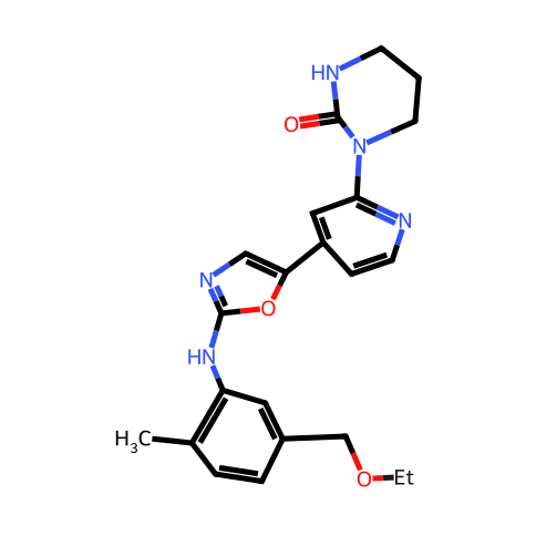 CCOCc1ccc(C)c(Nc2ncc(-c3ccnc(N4CCCNC4=O)c3)o2)c1